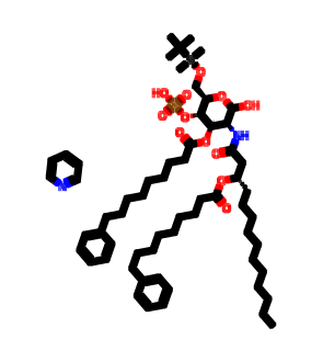 CCCCCCCCCCC[C@@H](CC(=O)N[C@H]1C(O)O[C@H](CO[Si](C)(C)C(C)(C)C)[C@@H](OS(=O)(=O)O)[C@@H]1OC(=O)CCCCCCCCc1ccccc1)OC(=O)CCCCCCCCc1ccccc1.c1ccncc1